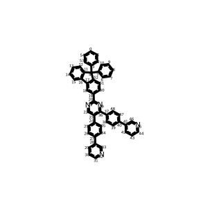 c1ccc(C2(c3ccccc3)c3ccccc3-c3cc(-c4ncc(-c5ccc(-c6cccnc6)cc5)c(-c5ccc(-c6cccnc6)cc5)n4)ccc32)cc1